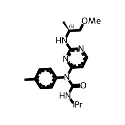 COC[C@H](C)Nc1nccc(N(C(=O)NC(C)C)c2ccc(C)cc2)n1